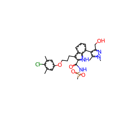 Cc1cc(OCCCc2c(C(=O)NS(C)(=O)=O)[nH]c3c(-c4c(CO)nn(C)c4C)cccc23)cc(C)c1Cl